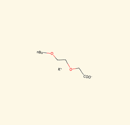 CCCCOCCOCC(=O)[O-].[K+]